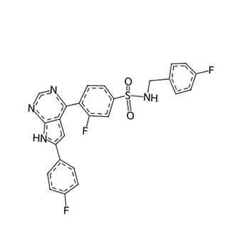 O=S(=O)(NCc1ccc(F)cc1)c1ccc(-c2ncnc3[nH]c(-c4ccc(F)cc4)cc23)c(F)c1